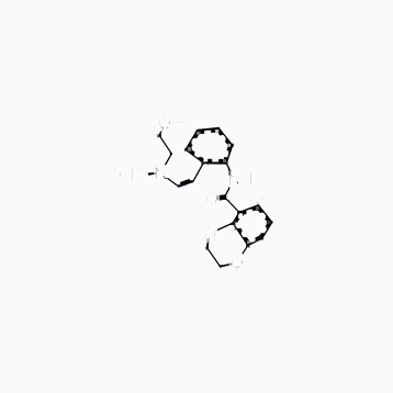 O=CN(/C=C\c1ccccc1NC(=O)c1cccc2c1OCCO2)CCO